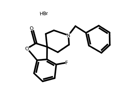 Br.O=C1Oc2cccc(F)c2C12CCN(Cc1ccccc1)CC2